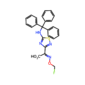 O=C(O)/C(=N\OCF)c1nsc(NC(c2ccccc2)(c2ccccc2)c2ccccc2)n1